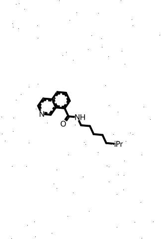 CC(C)CCCCCNC(=O)c1cccc2ccncc12